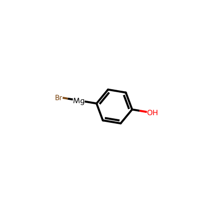 Oc1cc[c]([Mg][Br])cc1